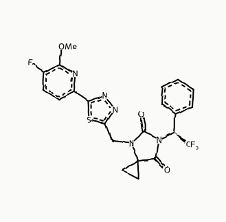 COc1nc(-c2nnc(CN3C(=O)N([C@@H](c4ccccc4)C(F)(F)F)C(=O)C34CC4)s2)ccc1F